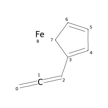 C=C=CC1=CC=CC1.[Fe]